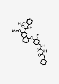 COc1cc2nccc(Oc3ccc(NC(=S)NC(=O)Cc4ccccc4)cc3F)c2cc1C(=O)Nc1ccccc1C